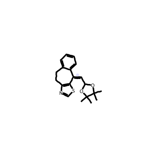 CC1(C)OC(/C=C2/c3ccccc3CCc3ncsc32)OC1(C)C